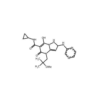 COC(C)(C)CN1C(=O)C(C(=O)NC2CC2)=C(O)N2NC(Nc3cnccn3)C=C12